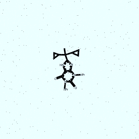 CCCn1c(=O)c2[nH]c(C(C)(C3CC3)C3CC3)nc2n(CCC)c1=O